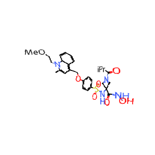 COCCN1C(C)=CC(COc2ccc(S(=O)(=O)NC3(C(=O)NO)CN(C(=O)C(C)C)C3)cc2)=C2C=CC=CC21